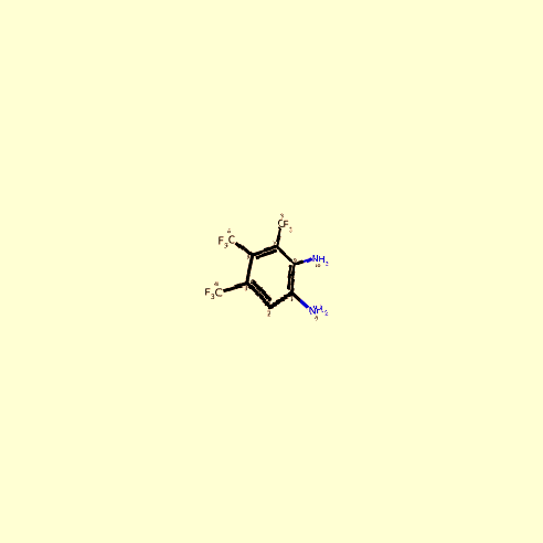 Nc1cc(C(F)(F)F)c(C(F)(F)F)c(C(F)(F)F)c1N